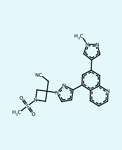 Cn1cc(-c2cc(-c3ccn(C4(CC#N)CN(S(C)(=O)=O)C4)n3)c3cccnc3c2)cn1